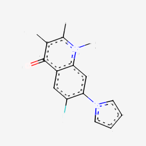 CCc1c(C(=O)O)c(=O)c2cc(F)c(-n3cccc3)cc2n1CC